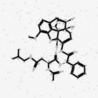 COc1ccc2c3c1O[C@H]1C(OC(=O)[C@@H](OC(=O)[C@H](CC(=O)OCC(C)C)OC(C)=O)c4ccccc4)=CC[C@@]4(O)[C@H](CCC[C@]314)C2